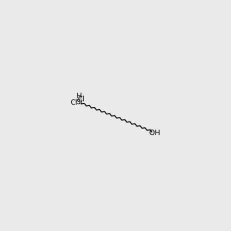 OCCCCCCCCCCCCCCCCCCCCCCCCCCCC[SiH](Cl)Cl